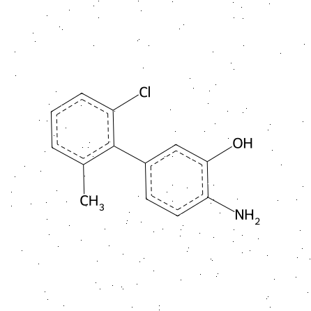 Cc1cccc(Cl)c1-c1ccc(N)c(O)c1